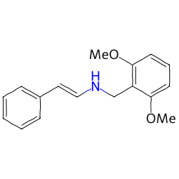 COc1cccc(OC)c1CNC=Cc1ccccc1